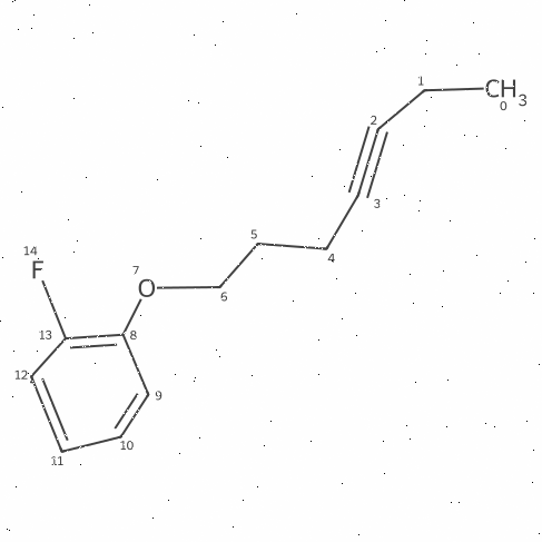 CCC#CCCCOc1ccc[c]c1F